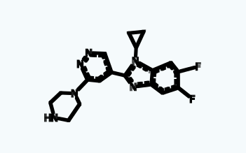 Fc1cc2nc(-c3cnnc(N4CCNCC4)c3)n(C3CC3)c2cc1F